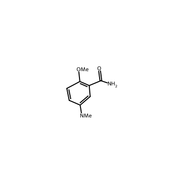 CNc1ccc(OC)c(C(N)=O)c1